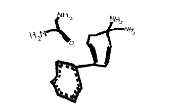 NC(N)=O.NC1(N)C=CC(c2ccccc2)=CC1